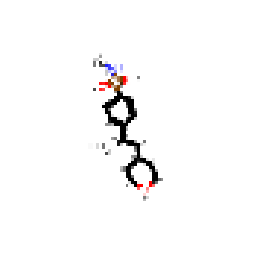 CCNS(=O)(=O)c1ccc(C(CC2CCOCC2)C(=O)O)cc1